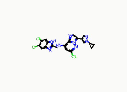 Clc1cc(NCc2nc3cc(Cl)c(Cl)cc3[nH]2)c2ncc(-c3cnn(C4CC4)c3)n2n1